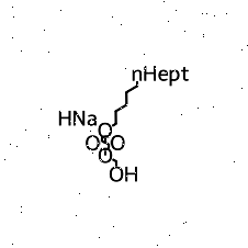 CCCCCCCCCCCCOS(=O)(=O)OCO.[NaH]